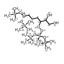 C[Si](C)(C)O[SiH](CCCC(OO[Si](C)(O[Si](C)(C)C)O[Si](C)(C)C)C(O)CO)O[Si](C)(C)C